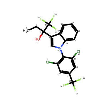 CCC(O)(c1cn(-c2c(Cl)cc(C(F)(F)F)cc2Cl)c2ccccc12)C(F)(F)F